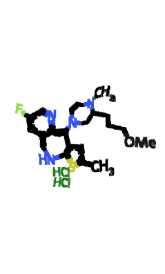 COCCCC1CN(C2=c3ncc(F)cc3=CNc3sc(C)cc32)CCN1C.Cl.Cl